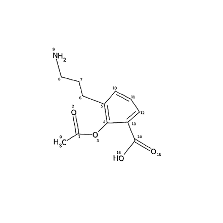 CC(=O)Oc1c(CCCN)cccc1C(=O)O